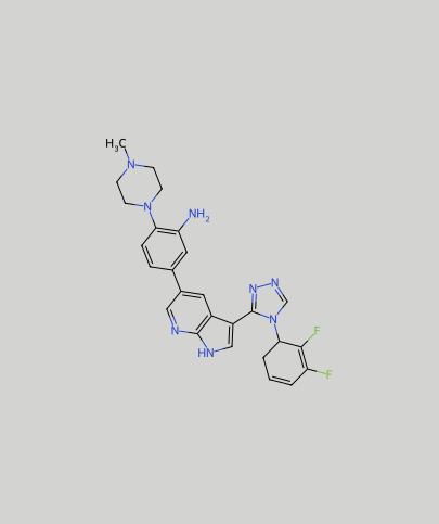 CN1CCN(c2ccc(-c3cnc4[nH]cc(-c5nncn5C5CC=CC(F)=C5F)c4c3)cc2N)CC1